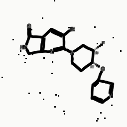 CCc1cc2c(nc1N1CC[C@@H](Oc3cccnc3)[C@@H](F)C1)CNC2=O